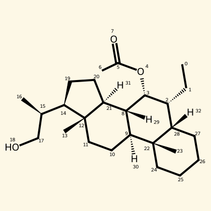 CC[C@H]1[C@@H](OC(C)=O)[C@@H]2[C@H](CC[C@]3(C)[C@@H]([C@H](C)CO)CC[C@@H]23)[C@@]2(C)CCCC[C@@H]12